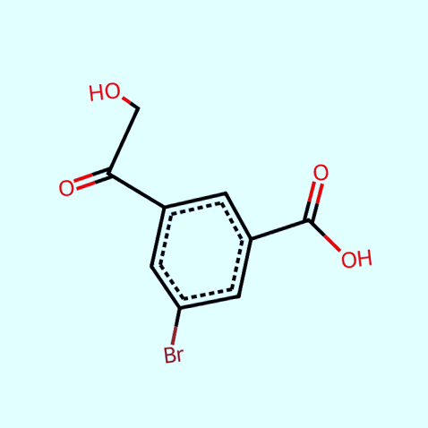 O=C(O)c1cc(Br)cc(C(=O)CO)c1